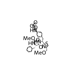 COCc1csc([C@H](Cc2ccc(NO[SH](=O)=O)cc2)NC(=O)[C@H](Cc2ccccc2)NC(=O)OC)n1